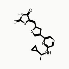 C[C@H](Nc1cncc(C2=CSC(/C=C3\SC(=O)NC3=O)C2)n1)C1CC1